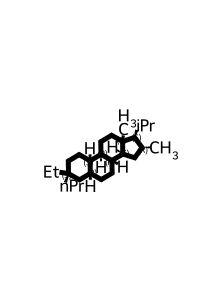 CCC[C@@]1(CC)CC[C@H]2[C@H](CC[C@@H]3[C@@H]2CC[C@@]2(C)[C@H]3C[C@@H](C)[C@@H]2C(C)C)C1